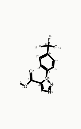 COC(=O)c1cnnn1-c1ccc(C(F)(F)F)cc1